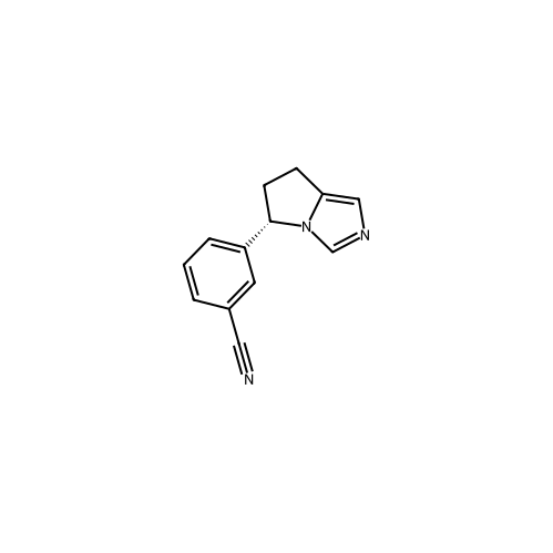 N#Cc1cccc([C@@H]2CCc3cncn32)c1